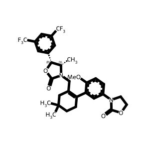 COc1ccc(N2CCOC2=O)cc1C1=C(CN2C(=O)O[C@H](c3cc(C(F)(F)F)cc(C(F)(F)F)c3)[C@@H]2C)CC(C)(C)CC1